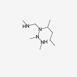 CCCC(C)N(CNC)N(C)NC